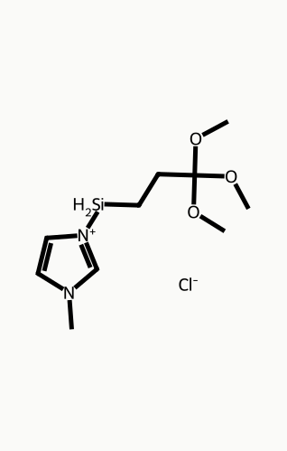 COC(CC[SiH2][n+]1ccn(C)c1)(OC)OC.[Cl-]